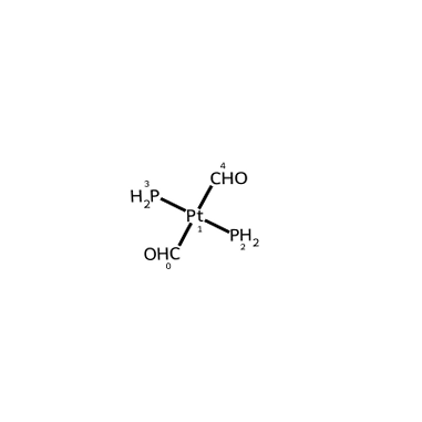 O=[CH][Pt]([PH2])([PH2])[CH]=O